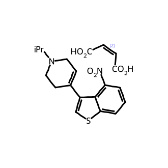 CC(C)N1CC=C(c2csc3cccc([N+](=O)[O-])c23)CC1.O=C(O)/C=C\C(=O)O